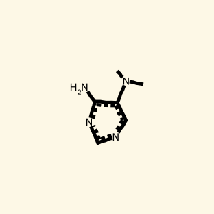 CN(C)c1cncnc1N